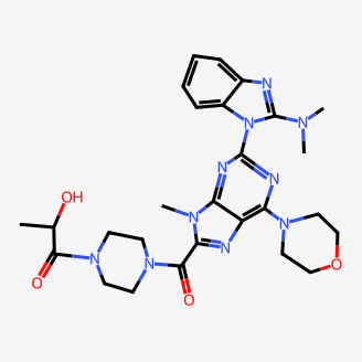 CC(O)C(=O)N1CCN(C(=O)c2nc3c(N4CCOCC4)nc(-n4c(N(C)C)nc5ccccc54)nc3n2C)CC1